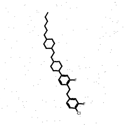 CCCCCCC1CCC(CCC2CCC(c3ccc(CCc4ccc(Cl)c(F)c4)c(F)c3)CC2)CC1